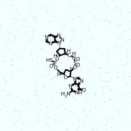 Nc1nc2c(ncn2[C@@H]2O[C@@H]3COP(=O)(S)O[C@H]4C[C@H](n5nnc6cncnc65)C[C@@H]4CNS(=O)(=O)O[C@@H]2C3)c(=O)[nH]1